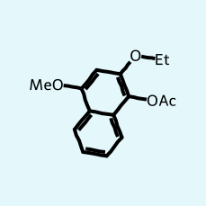 CCOc1cc(OC)c2ccccc2c1OC(C)=O